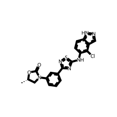 C[C@H]1CN(c2cccc(-c3nsc(Nc4ccc5[nH]ncc5c4Cl)n3)c2)C(=O)O1